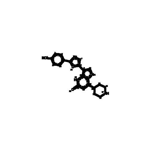 N#Cc1ccc(-c2nnc(-c3cnn4c(C5CCNCC5)cc(=O)[nH]c34)o2)cc1